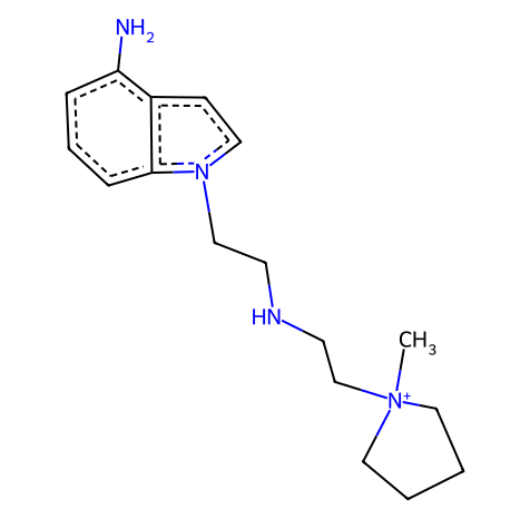 C[N+]1(CCNCCn2ccc3c(N)cccc32)CCCC1